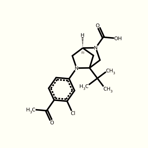 CC(=O)c1ccc(N2C[C@@H]3CC2(C(C)(C)C)CN3C(=O)O)cc1Cl